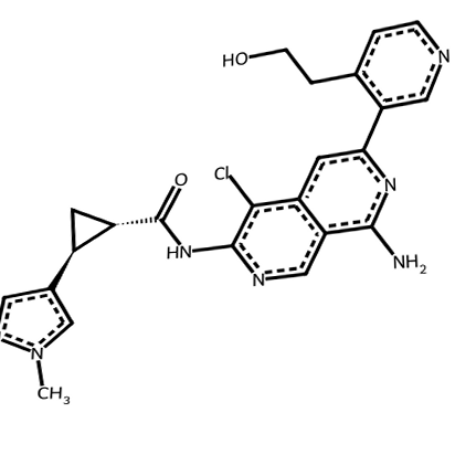 Cn1cc([C@H]2C[C@@H]2C(=O)Nc2ncc3c(N)nc(-c4cnccc4CCO)cc3c2Cl)cn1